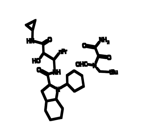 CC(C)(C)CN(C=O)C(=O)C(N)=O.CCCC(NC(=O)C1CC2CCCCC2N1C1CCCCC1)C(O)C(=O)NC1CC1